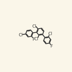 Fc1ccc(-c2c[c]c(Cl)c(-c3ccc(Cl)cc3F)c2Cl)c(Cl)c1